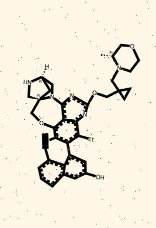 C#Cc1cccc2cc(O)cc(-c3c(F)c4c5c(nc(OCC6(CN7CCOC[C@H]7C)CC6)nc5c3CC)N3C[C@H]5C[C@@]3(CN5)CO4)c12